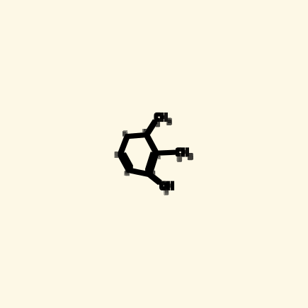 CC1=C(O)C=CCC1C